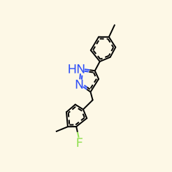 Cc1ccc(-c2cc(Cc3ccc(C)c(F)c3)n[nH]2)cc1